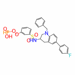 O=[PH](O)OOc1cccc(S(=O)(=O)NC2Cc3cc(-c4ccc(F)cc4)ccc3N(Cc3ccccc3)C2)c1